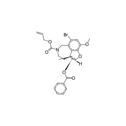 C=CCOC(=O)N1CC[C@]23c4c(c(Br)cc(OC)c4O[C@H]2C[C@@H](OC(=O)c2ccccc2)C3C)C1